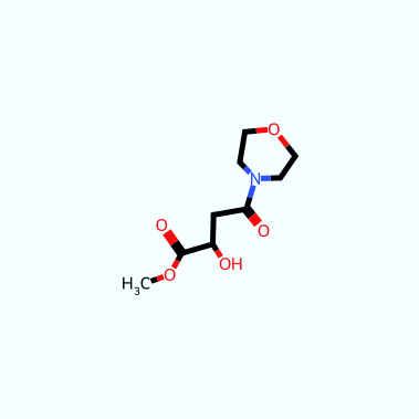 COC(=O)C(O)CC(=O)N1CCOCC1